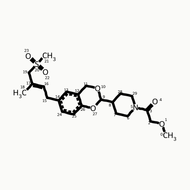 COCC(=O)N1CCC(C2OCc3cc(C/C=C(\C)CS(C)(=O)=O)ccc3O2)CC1